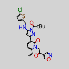 C=Cc1ccc(-c2cc(NCc3ccc(Cl)s3)n(C(=O)C(C)(C)C)n2)c(=O)n1CC(=O)c1cnoc1